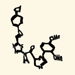 COc1ccc(-n2cncc2C(=O)Nc2nnc(COc3ccc(Cl)cc3)s2)c(OC)c1